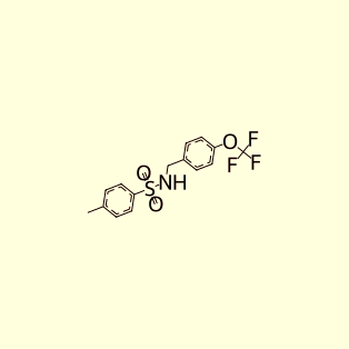 Cc1ccc(S(=O)(=O)NCc2ccc(OC(F)(F)F)cc2)cc1